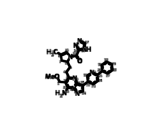 COCc1c(CCC2CC(C)=CN2C(=O)c2nnc[nH]2)nc2c(-c3ccc(-c4ccccc4)nc3)cnn2c1N